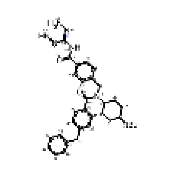 CC(C)(C)C1CCC(N(Cc2ccc(C(=O)N/C(N=N)=N/N)cc2)C(=O)c2ccc(Cc3ccccc3)cc2)CC1